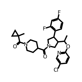 CC(Oc1ccc(Cl)cn1)C1CN(C(=O)C2CCN(C(=O)C3(C)CC3)CC2)CC1c1ccc(F)cc1F